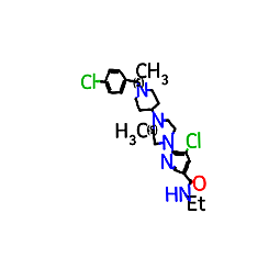 CCNC(=O)c1cnc(N2CCN(C3CCN([C@@H](C)c4ccc(Cl)cc4)CC3)[C@@H](C)C2)c(Cl)c1